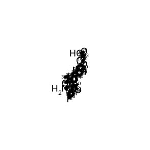 Cc1c([C@@]23CC[C@]4(C)[C@H](CC[C@@H]5[C@@]6(C)CC[C@H](OC(=O)CC(C)(C)C(=O)O)C(C)(C)[C@@H]6CC[C@]54C)C2=C(C(C)C)C(=O)C3)n(CCN)n(-c2ccc(F)cc2)c1=O